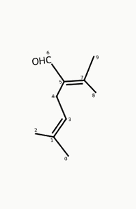 CC(C)=CCC(C=O)=C(C)C